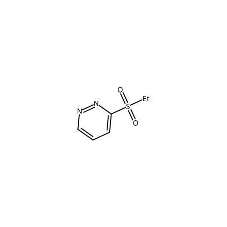 CCS(=O)(=O)c1cccnn1